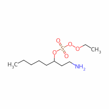 CCCCCC(CCN)OS(=O)(=O)OOCC